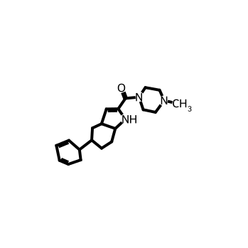 CN1CCN(C(=O)C2=CC3CC(C4C=CC=CC4)CCC3N2)CC1